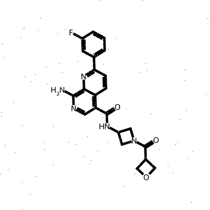 Nc1ncc(C(=O)NC2CN(C(=O)C3COC3)C2)c2ccc(-c3cccc(F)c3)nc12